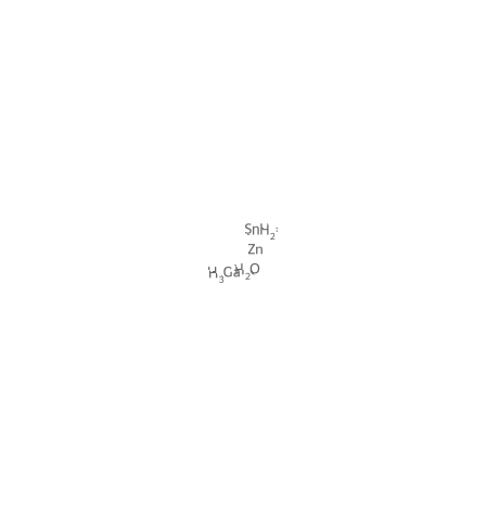 O.[GaH3].[SnH2].[Zn]